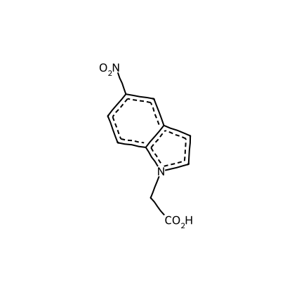 O=C(O)Cn1ccc2cc([N+](=O)[O-])ccc21